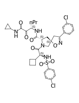 CCC[C@H](NC(=O)[C@@H]1C[C@]2(CC(c3cccc(Cl)c3)=NO2)CN1C(=O)[C@@H](NS(=O)(=O)c1ccc(Cl)cc1)C1CCC1)C(=O)C(=O)NC1CC1